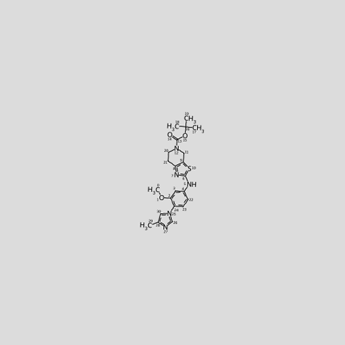 COc1cc(Nc2nc3c(s2)CN(C(=O)OC(C)(C)C)CC3)ccc1-n1cnc(C)c1